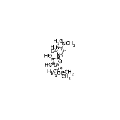 C=C1N=C(N(C)C)C=CN1[C@@H]1O[C@H](C(C)CP(=C)(C)C)[C@@H](O)[C@H]1O